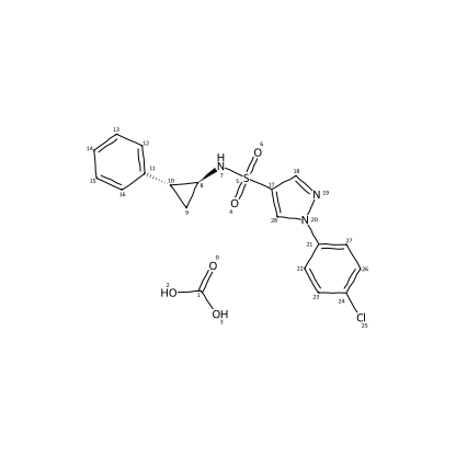 O=C(O)O.O=S(=O)(N[C@H]1C[C@@H]1c1ccccc1)c1cnn(-c2ccc(Cl)cc2)c1